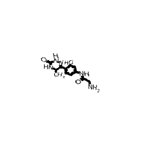 CC1NC(=O)NN=C1c1ccc(NC(=O)CN)cc1.Cl